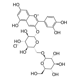 OC[C@H]1O[C@@H](OC[C@H]2O[C@@H](Oc3cc4c(O)cc(O)cc4[o+]c3-c3ccc(O)c(O)c3)[C@H](O)[C@@H](O)[C@@H]2O)[C@H](O)[C@@H](O)[C@@H]1O.[Cl-]